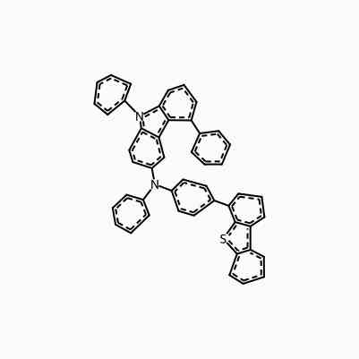 c1ccc(-c2cccc3c2c2cc(N(c4ccccc4)c4ccc(-c5cccc6c5sc5ccccc56)cc4)ccc2n3-c2ccccc2)cc1